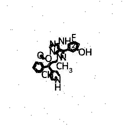 Cc1ccccc1/C(C1=CCNCC1)=C(\OC=O)C(C)n1nc(-c2cc(O)cc(F)c2)c2c(N)ncnc21